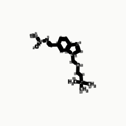 CC(C)(C)[S+]([O-])N=Cc1ccc2ncn(COCC[Si](C)(C)C)c2c1